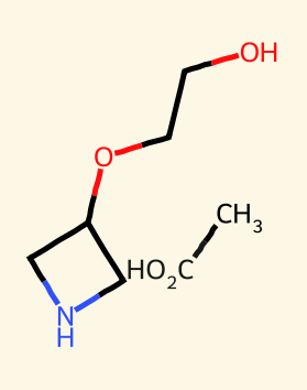 CC(=O)O.OCCOC1CNC1